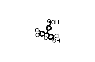 O=C(O)c1ccc(-c2c3cc(Cl)c(=O)cc-3oc3cc(O)c(Cl)cc23)cc1